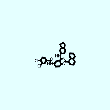 O=C(Nc1ccc2nc(-c3cccc4ccccc34)nc(Nc3ccc4c(c3)CCC4)c2c1)c1ccc(Cl)c(Cl)c1